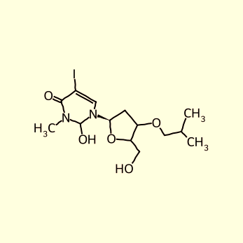 CC(C)COC1C[C@H](N2C=C(I)C(=O)N(C)C2O)OC1CO